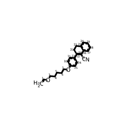 C=COCCCCCOc1ccc(C2=C(C#N)c3ccccc3CC2)cc1